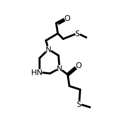 CSCCC(=O)N1CNCN(CC(C=O)CSC)C1